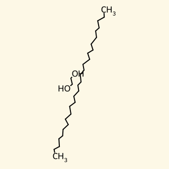 CCCCCCCCCCCCCCCCCCCCCCCCCCCC.OCCO